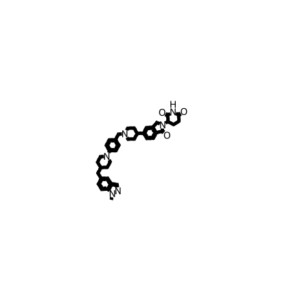 Cn1ncc2cc(CC3CCN(c4ccc(CN5CCC(c6ccc7c(c6)CN(C6CCC(=O)NC6=O)C7=O)CC5)cc4)CC3)ccc21